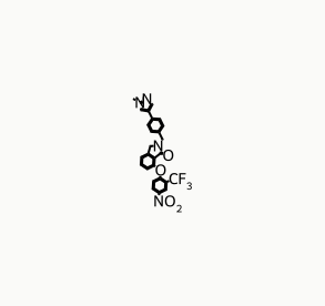 Cn1cc(-c2ccc(CN3Cc4cccc(Oc5ccc([N+](=O)[O-])cc5C(F)(F)F)c4C3=O)cc2)cn1